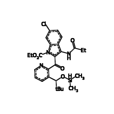 CCOC(=O)n1c(C(=O)c2ncccc2C(O[SiH](C)C)C(C)(C)C)c(NC(=O)CC)c2ccc(Cl)cc21